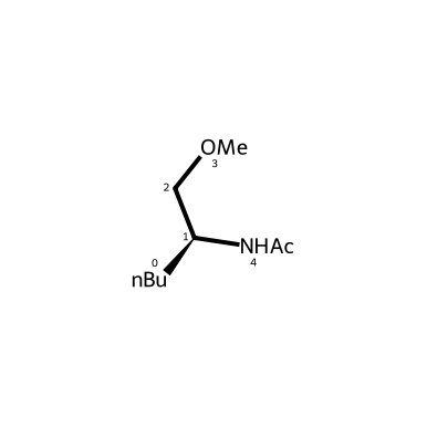 CCCC[C@@H](COC)NC(C)=O